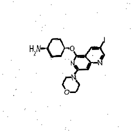 N[C@H]1CC[C@@H](Oc2nc(N3CCOCC3)cc3ncc(I)cc23)CC1